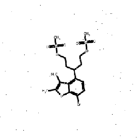 Cc1oc2c(Br)ccc(C(CCOS(C)(=O)=O)CCOS(C)(=O)=O)c2c1C